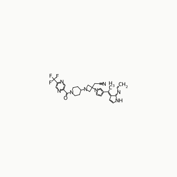 C=C/N=C1/NC=C/C1=C(/C)c1ccn(C2(CC#N)CN(C3CCN(C(=O)c4cnc(C(F)(F)F)cn4)CC3)C2)c1